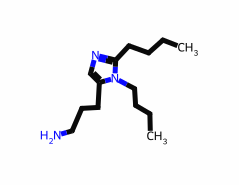 CCCCc1ncc(CCCN)n1CCCC